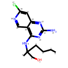 CCCCC(C)(CO)Nc1nc(N)nc2cc(Cl)ncc12